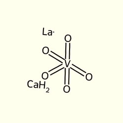 [CaH2].[La].[O]=[V](=[O])(=[O])(=[O])=[O]